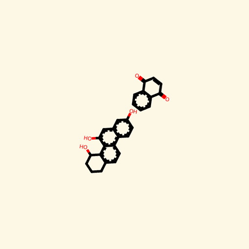 O=C1C=CC(=O)c2ccccc21.Oc1ccc2c(c1)cc(O)c1c3c(ccc12)CCCC3O